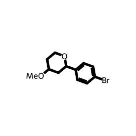 COC1CCOC(c2ccc(Br)cc2)C1